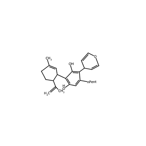 C=C(C)C1CCC(C)=CC1c1c(O)cc(CCCCC)c(C2C=COC=C2)c1O